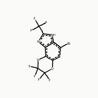 FC(F)(F)c1nc2c3c(cc(Br)c2[nH]1)OC(F)(F)C(F)(F)O3